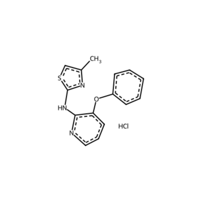 Cc1csc(Nc2ncccc2Oc2ccccc2)n1.Cl